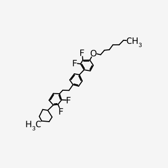 CCCCCCCOc1ccc(-c2ccc(CCc3ccc(C4CCC(C)CC4)c(F)c3F)cc2)c(F)c1F